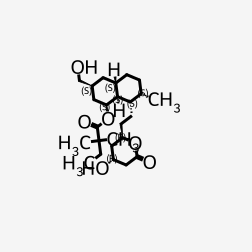 CCC(C)(C)C(=O)O[C@H]1C[C@@H](CO)C[C@@H]2CC[C@H](C)[C@H](CC[C@@H]3C[C@@H](O)CC(=O)O3)[C@H]21